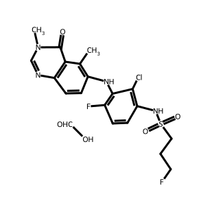 Cc1c(Nc2c(F)ccc(NS(=O)(=O)CCCF)c2Cl)ccc2ncn(C)c(=O)c12.O=CO